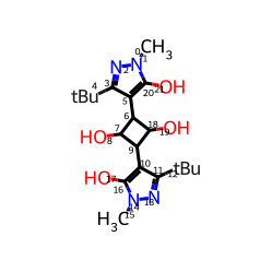 Cn1nc(C(C)(C)C)c(C2C(O)C(c3c(C(C)(C)C)nn(C)c3O)C2O)c1O